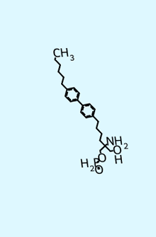 CCCCCCc1ccc(-c2ccc(CCCCC(N)(CO)CO[PH2]=O)cc2)cc1